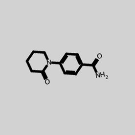 NC(=O)c1[c]cc(N2CCCCC2=O)cc1